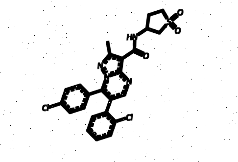 Cc1nn2c(-c3ccc(Cl)cc3)c(-c3ccccc3Cl)cnc2c1C(=O)NC1CCS(=O)(=O)C1